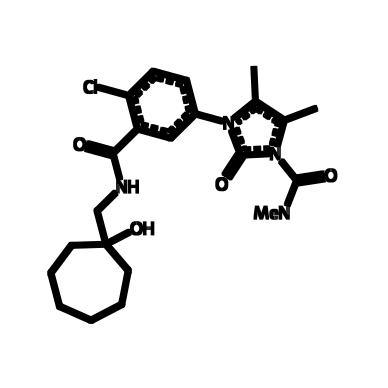 CNC(=O)n1c(C)c(C)n(-c2ccc(Cl)c(C(=O)NCC3(O)CCCCCC3)c2)c1=O